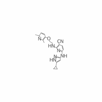 Cc1ccc(OCCNc2nc(Nc3cc(C4CC4)[nH]n3)ccc2C#N)c(C)n1